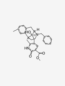 COC(=O)c1cc2c([nH]c1=O)C[C@]13CCN(Cc4ccccc4)[C@H](Cc4ccc(C)cc41)[C@]3(O)C2